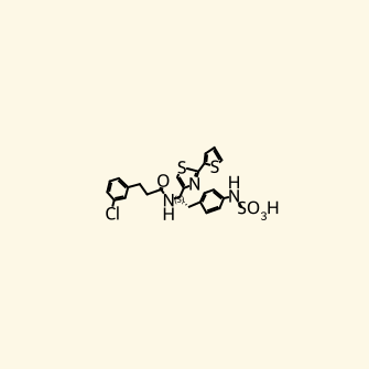 O=C(CCc1cccc(Cl)c1)N[C@@H](Cc1ccc(NS(=O)(=O)O)cc1)c1csc(-c2cccs2)n1